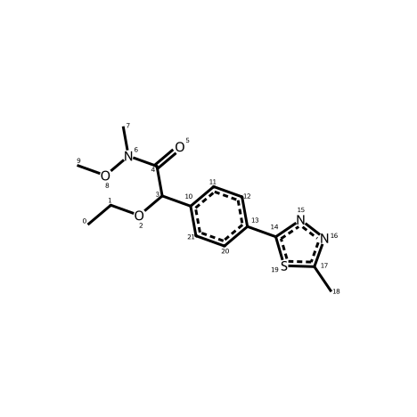 CCOC(C(=O)N(C)OC)c1ccc(-c2nnc(C)s2)cc1